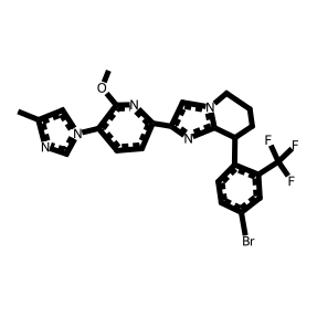 COc1nc(-c2cn3c(n2)C(c2ccc(Br)cc2C(F)(F)F)CCC3)ccc1-n1cnc(C)c1